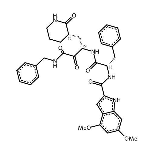 COc1cc(OC)c2cc(C(=O)N[C@@H](Cc3ccccc3)C(=O)N[C@@H](C[C@@H]3CCCNC3=O)C(=O)C(=O)NCc3ccccc3)[nH]c2c1